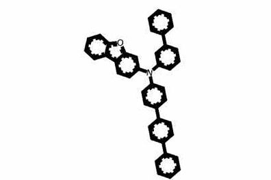 c1ccc(-c2ccc(-c3ccc(N(c4cccc(-c5ccccc5)c4)c4ccc5c(c4)oc4ccccc45)cc3)cc2)cc1